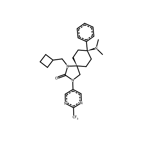 CN(C)[C@]1(c2ccccc2)CC[C@@]2(CC1)CN(c1cnc(C(F)(F)F)nc1)C(=O)N2CC1CCC1